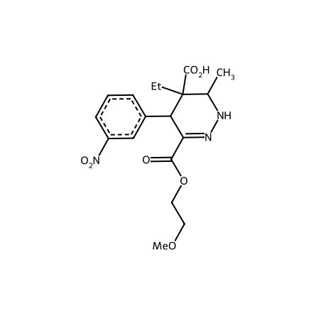 CCC1(C(=O)O)C(C)NN=C(C(=O)OCCOC)C1c1cccc([N+](=O)[O-])c1